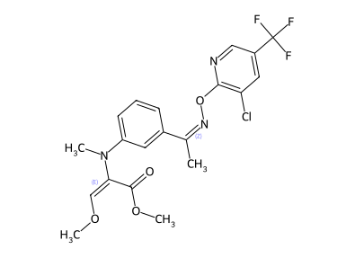 CO/C=C(\C(=O)OC)N(C)c1cccc(/C(C)=N\Oc2ncc(C(F)(F)F)cc2Cl)c1